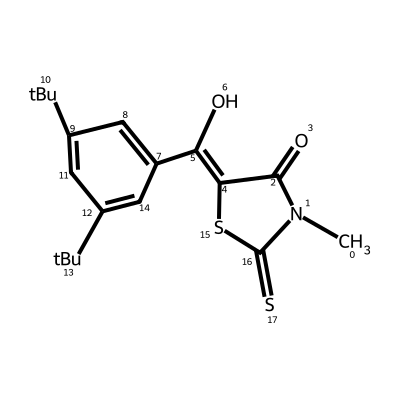 CN1C(=O)C(=C(O)c2cc(C(C)(C)C)cc(C(C)(C)C)c2)SC1=S